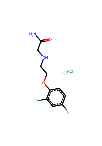 Cl.Cl.NC(=O)CNCCOc1ccc(Cl)cc1Cl